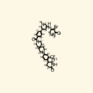 CN1C[C@H](Nc2cnn(C)c(=O)c2Br)C[C@H](c2ccc(C(=O)N3CCC4(CC3)CCN(c3ccc(C5CCC(=O)NC5=O)c(C(F)(F)F)c3)CC4)cc2)C1